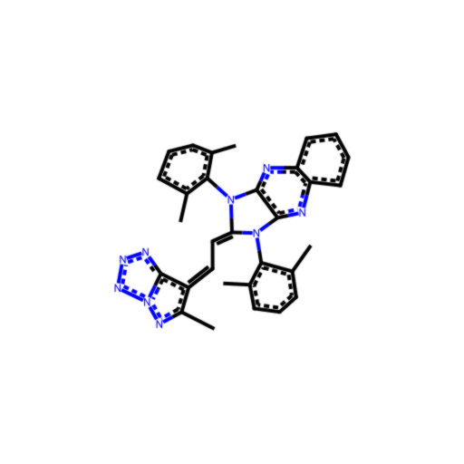 Cc1cccc(C)c1N1C(=C/C=c2/c(C)nn3nnnc23)N(c2c(C)cccc2C)c2nc3ccccc3nc21